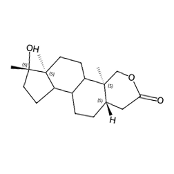 C[C@]1(O)CCC2C3CC[C@H]4CC(=O)OC[C@]4(C)C3CC[C@@]21C